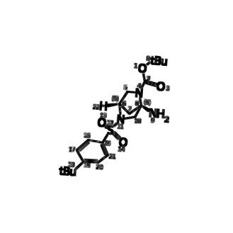 CC(C)(C)OC(=O)N1C[C@@H]2C[C@@]1(N)CN2S(=O)(=O)c1ccc(C(C)(C)C)cc1